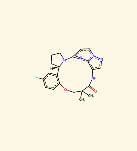 CC1(C)COc2ccc(F)cc2[C@@H]2CCCN2c2ccn3ncc(c3n2)NC1=O